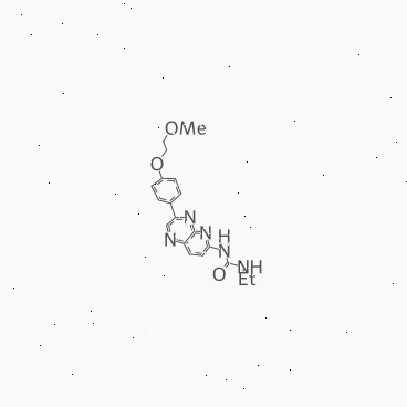 CCNC(=O)Nc1ccc2ncc(-c3ccc(OCCOC)cc3)nc2n1